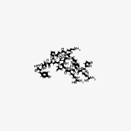 CCCC[C@H](NC(=O)[C@@H]1CCCN1C(=O)CNC(=O)[C@H](CCCCN)NC(=O)[C@H](Cc1c[nH]cn1)NC(=O)[C@H](CO)NC(=O)[C@H](CC(C)C)NC(=O)[C@H](CCCNC(=N)N)NC(=O)[C@@H]1CCCN1C(=O)[C@H](CCCNC(=N)N)NC(=O)[C@@H]1CCC(=O)N1)C(=O)NC(C)(C)C(=O)N[C@@H](Cc1ccc(Br)cc1)C(=O)O